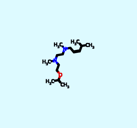 CC(C)/C=C\CN(C)CCN(C)CCOC(C)C